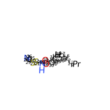 CC(C)CCC[C@@H](C)[C@H]1CCC2[C@@H]3CC=C4C[C@@H](OC(=O)NCCSSc5ccncc5)CC[C@]4(C)C3CC[C@@]21C